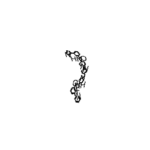 O=C(NC1CCN(c2ccc(CN3CCC(NC(=O)c4cccc(-c5ccccn5)c4F)CC3)cn2)CC1)c1cccc(-c2cccnc2)c1